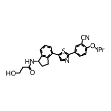 CC(C)Oc1ccc(-c2ncc(-c3cccc4c3CC[C@H]4NC(=O)CCO)s2)cc1C#N